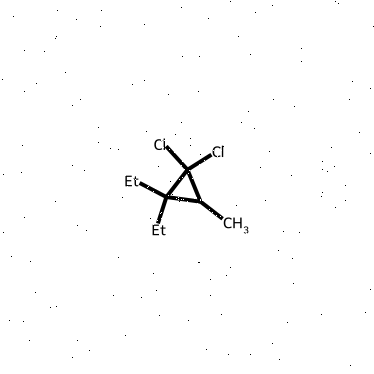 CCC1(CC)C(C)C1(Cl)Cl